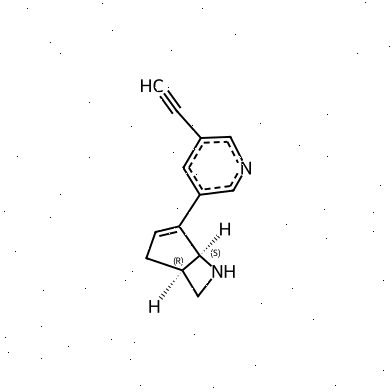 C#Cc1cncc(C2=CC[C@@H]3CN[C@H]23)c1